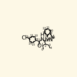 CCC(CC)C(NC(=O)c1ccc(Cl)cc1)n1nnc2ccccc21